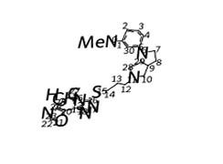 CNc1cccc(N2CCC3CN(CCCSc4nnc(-c5ocnc5C)n4C)CC32)c1